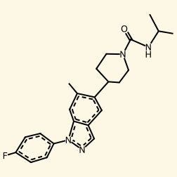 Cc1cc2c(cnn2-c2ccc(F)cc2)cc1C1CCN(C(=O)NC(C)C)CC1